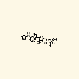 O=P(O)(O)COC[C@H]1OC(c2cnc3c(NC4CC=CC4)ncnn23)[C@H](O)[C@@H]1O